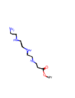 CC(C)OC(=O)CCNCCNCCNCCN